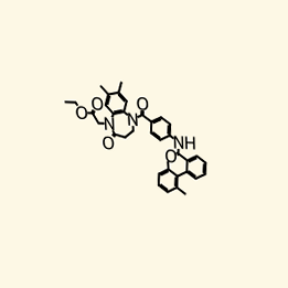 CCOC(=O)CN1C(=O)CCN(C(=O)c2ccc(NC(=O)c3ccccc3-c3c(C)cccc3C)cc2)c2cc(C)c(C)cc21